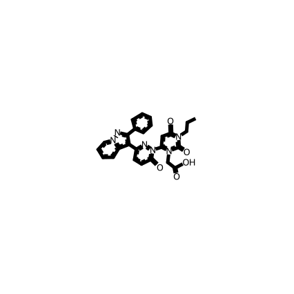 CCCn1c(=O)cc(-n2nc(-c3c(-c4ccccc4)nn4ccccc34)ccc2=O)n(CC(=O)O)c1=O